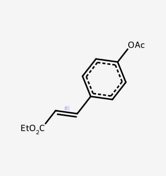 CCOC(=O)/C=C/c1ccc(OC(C)=O)cc1